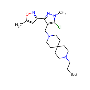 Cc1cc(-c2nn(C)c(Cl)c2CN2CCC3(CCN(CCC(C)(C)C)CC3)CC2)no1